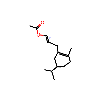 CC(=O)O/C=C/CC1=C(C)CCC(C(C)C)C1